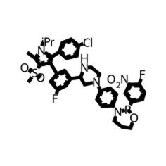 Cc1c(S(C)(=O)=O)c(-c2cc(F)cc(C3CN(c4ccc(N5CCCOP5c5ccc(F)c([N+](=O)[O-])c5)cc4)CCN3)c2)c(-c2ccc(Cl)cc2)n1C(C)C